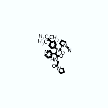 CC(C)(C)c1ccc(N(C(=O)[C@H]2CCCN2C#N)C(C(=O)NCC(=O)N2CCCC2)c2cccnc2)cc1